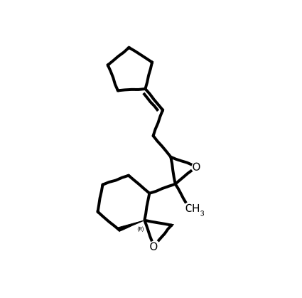 CC1(C2CCCC[C@]23CO3)OC1CC=C1CCCC1